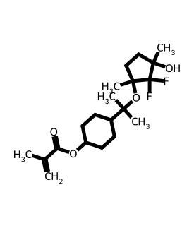 C=C(C)C(=O)OC1CCC(C(C)(C)OC2(C)CCC(C)(O)C2(F)F)CC1